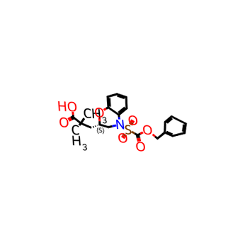 CC(C)(C[C@H]1CN(S(=O)(=O)C(=O)OCc2ccccc2)c2ccccc2O1)C(=O)O